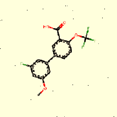 COc1cc(F)cc(-c2ccc(OC(F)(F)F)c(C(=O)O)c2)c1